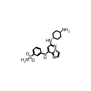 NS(=O)(=O)c1cccc(Nc2cc(N[C@H]3CC[C@H](N)CC3)nn3ccnc23)c1